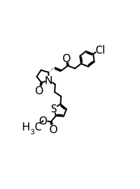 COC(=O)c1ccc(CCCN2C(=O)CC[C@@H]2C=CC(=O)Cc2ccc(Cl)cc2)s1